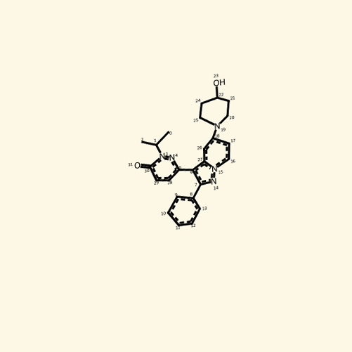 CC(C)n1nc(-c2c(-c3ccccc3)nn3ccc(N4CCC(O)CC4)cc23)ccc1=O